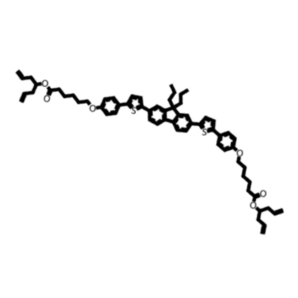 C=CCC(CC=C)OC(=O)CCCCCOc1ccc(-c2ccc(-c3ccc4c(c3)C(CCC)(CCC)c3cc(-c5ccc(-c6ccc(OCCCCCC(=O)OC(CC=C)CC=C)cc6)s5)ccc3-4)s2)cc1